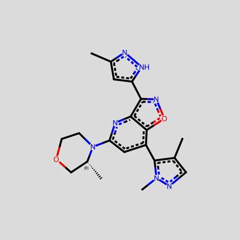 Cc1cc(-c2noc3c(-c4c(C)cnn4C)cc(N4CCOC[C@H]4C)nc23)[nH]n1